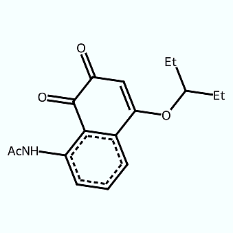 CCC(CC)OC1=CC(=O)C(=O)c2c(NC(C)=O)cccc21